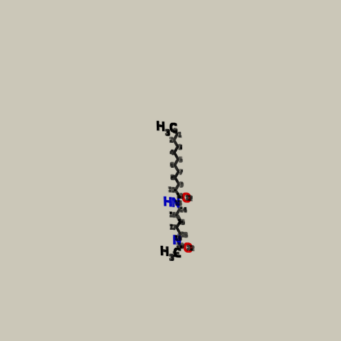 CCCCCCCCCCCC(=O)NCC=CCC=NC(C)=O